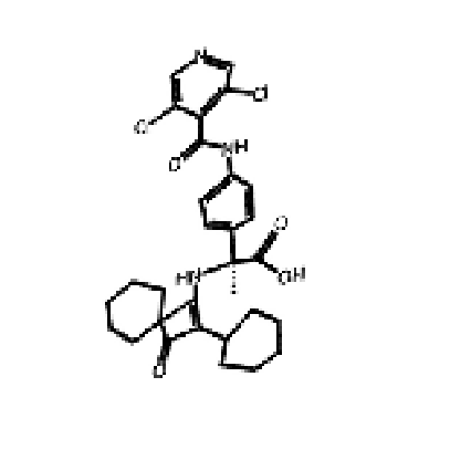 C[C@@](NC1=C(C2CCCCC2)C(=O)C12CCCCC2)(C(=O)O)c1ccc(NC(=O)c2c(Cl)cncc2Cl)cc1